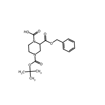 CC(C)(C)OC(=O)N1CCN(C(=O)O)C(C(=O)OCc2ccccc2)C1